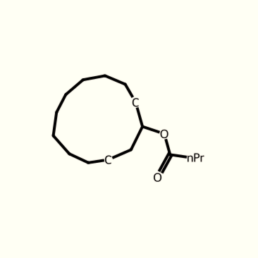 CCCC(=O)OC1CCCCCCCCCCC1